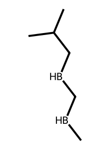 CBCBCC(C)C